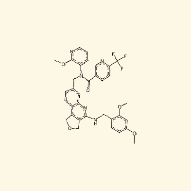 COc1ccc(CNc2nc3cc(CN(C(=O)c4ccc(C(F)(F)F)nc4)c4cccnc4OC)ccc3c3c2COC3)c(OC)c1